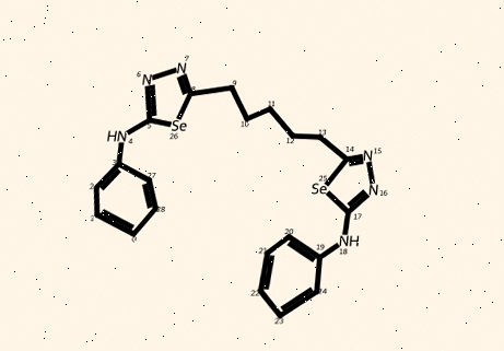 c1ccc(Nc2nnc(CCCCCc3nnc(Nc4ccccc4)[se]3)[se]2)cc1